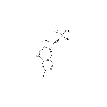 COC1=CNc2cc(Cl)ccc2C=C1C#C[Si](C)(C)C